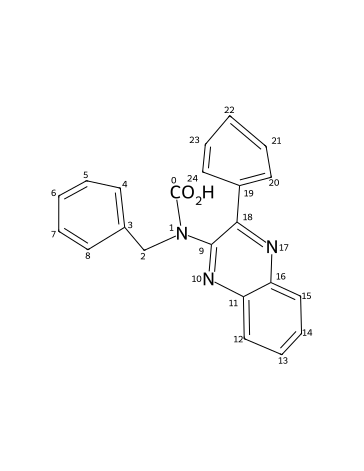 O=C(O)N(Cc1ccccc1)c1nc2ccccc2nc1-c1ccccc1